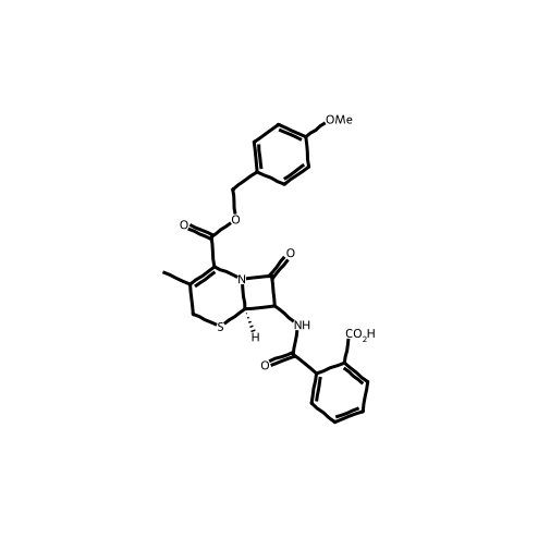 COc1ccc(COC(=O)C2=C(C)CS[C@@H]3C(NC(=O)c4ccccc4C(=O)O)C(=O)N23)cc1